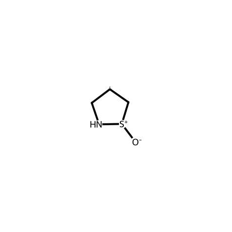 [O-][S+]1C[CH]CN1